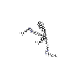 CCCCC/C=C\C/C=C\CCCCCCCCOCC(COCc1ccc(-c2ccc(OC)cc2)cc1)C(OCCCCCCCC/C=C\C/C=C\CCCCC)c1ccc(OC)cc1